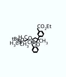 CCOC(=O)Cc1cccc(C(C)(CCOC(C)(C)CO[Si](C)(C)C(C)(C)C)C(=O)OCc2ccccc2)c1